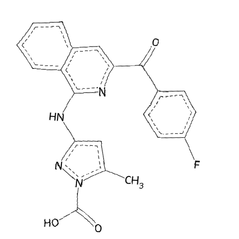 Cc1cc(Nc2nc(C(=O)c3ccc(F)cc3)cc3ccccc23)nn1C(=O)O